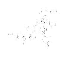 Cc1ccccc1CN(C)C(=O)c1nn(-c2ccc(F)cc2)c(CC[C@@H](O)C[C@@H](O)CC(=O)O)c1C(C)C